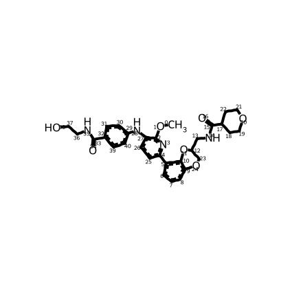 COc1nc(-c2cccc3c2OC(CNC(=O)C2CCOCC2)CO3)ccc1Nc1ccc(C(=O)NCCO)cc1